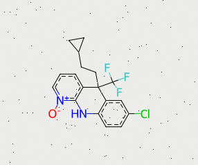 [O-][n+]1cccc2c1Nc1ccc(Cl)cc1C2(CCC1CC1)C(F)(F)F